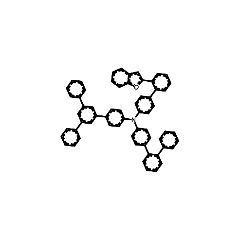 c1ccc(-c2cc(-c3ccccc3)cc(-c3ccc(N(c4ccc(-c5ccccc5-c5ccccc5)cc4)c4ccc(-c5ccccc5-c5cc6ccccc6o5)cc4)cc3)c2)cc1